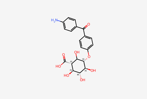 Nc1ccc(C(=O)c2ccc(O[C@H]3C(O)[C@@H](C(=O)O)[C@H](O)[C@@H](O)[C@@H]3O)cc2)cc1